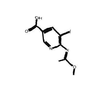 CO/C(C)=N/c1ncc(C(=O)O)cc1I